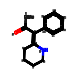 COC(=O)/C(=C1\CCCCN1)c1ccccc1